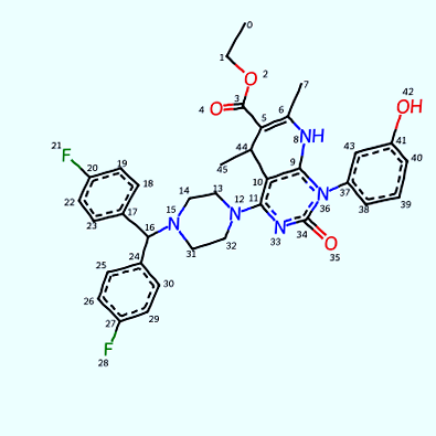 CCOC(=O)C1=C(C)Nc2c(c(N3CCN(C(c4ccc(F)cc4)c4ccc(F)cc4)CC3)nc(=O)n2-c2cccc(O)c2)C1C